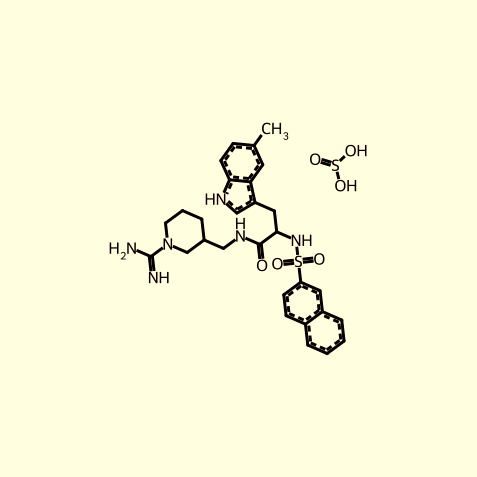 Cc1ccc2[nH]cc(CC(NS(=O)(=O)c3ccc4ccccc4c3)C(=O)NCC3CCCN(C(=N)N)C3)c2c1.O=S(O)O